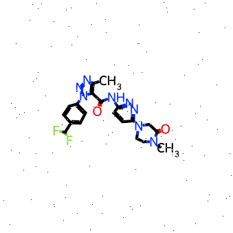 Cc1nnn(-c2ccc(C(F)F)cc2)c1C(=O)Nc1ccc(N2CCN(C)C(=O)C2)nn1